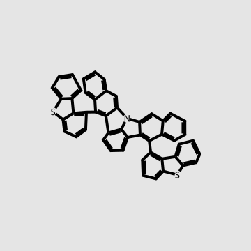 c1ccc2c(-c3cccc4sc5ccccc5c34)c3c4cccc5c6c(-c7cccc8sc9ccccc9c78)c7ccccc7cc6n(c3cc2c1)c45